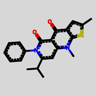 Cc1cc2c(=O)c3c(=O)n(-c4ccccc4)c(C(C)C)cc3n(C)c2s1